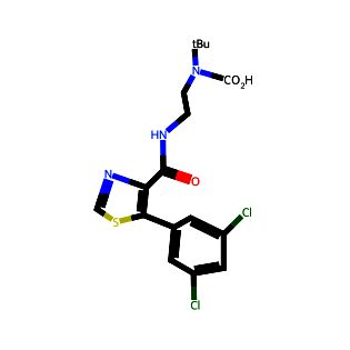 CC(C)(C)N(CCNC(=O)c1ncsc1-c1cc(Cl)cc(Cl)c1)C(=O)O